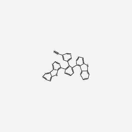 N#Cc1cccc(-c2c(-c3cccc4c3sc3ccccc34)cccc2-c2cccc3sc4ccccc4c23)c1